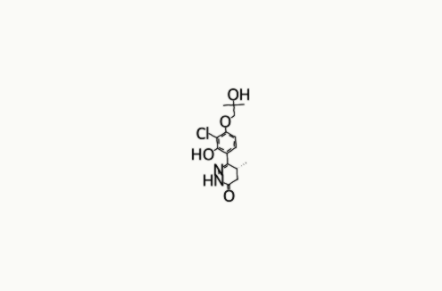 C[C@@H]1CC(=O)NN=C1c1ccc(OCC(C)(C)O)c(Cl)c1O